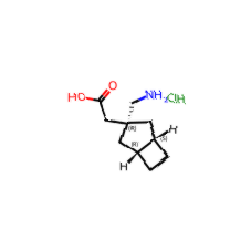 Cl.NC[C@@]1(CC(=O)O)C[C@H]2CC[C@H]2C1